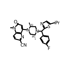 CC(C)c1cnc(C(c2ccc(F)cc2)N2C[C@H](C)N(c3cc(=O)n(C)c4ccc(C#N)nc34)C[C@H]2C)s1